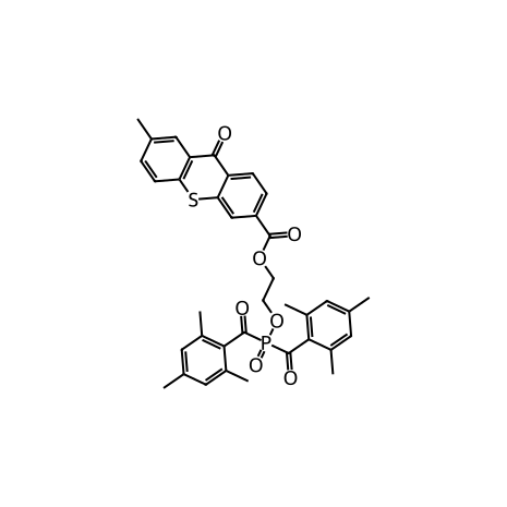 Cc1cc(C)c(C(=O)P(=O)(OCCOC(=O)c2ccc3c(=O)c4cc(C)ccc4sc3c2)C(=O)c2c(C)cc(C)cc2C)c(C)c1